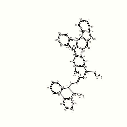 C=C/C(=N/C=C/CC1c2ccccc2-c2cccc[n+]2C1C)c1cc2c3cc4oc5ccccc5c4c4c5ccccc5n(c2cc1C)c34